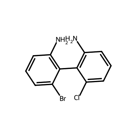 Nc1cccc(Cl)c1-c1c(N)cccc1Br